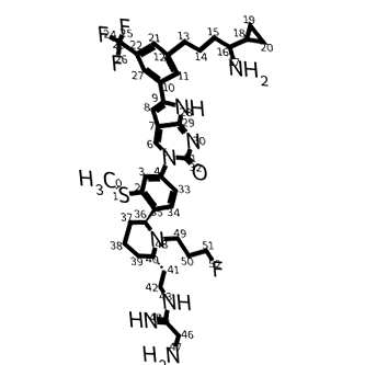 CSc1cc(-n2cc3cc(-c4cc(CCCC(N)C5CC5)cc(C(F)(F)F)c4)[nH]c3nc2=O)ccc1[C@@H]1CCC[C@@H](CCNC(=N)CN)N1CCCF